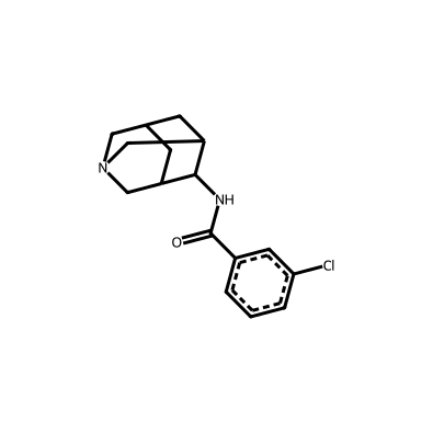 O=C(NC1C2CC3CC1CN(C3)C2)c1cccc(Cl)c1